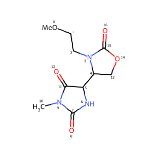 COCCN1[C](C2NC(=O)N(C)C2=O)COC1=O